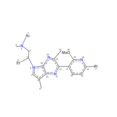 CCC(CN(C)C(C)=O)n1cc(C)c2nc(-c3ccc(C(C)C)nc3OC)c(C)nc21